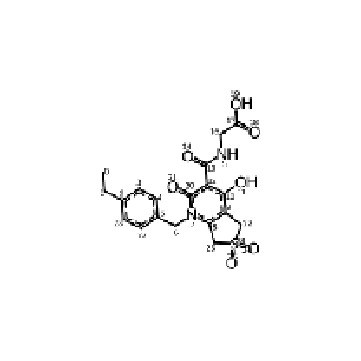 CCc1ccc(Cn2c3c(c(O)c(C(=O)NCC(=O)O)c2=O)CS(=O)(=O)C3)cc1